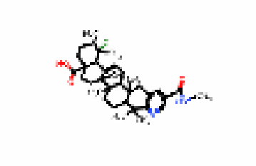 CNC(=O)c1cnc2c(c1)CC1(C)C(CCC3(C)C1CC=C1C4C(C(=O)O)(CCC(C)C4(C)Cl)CCC13C)C2(C)C